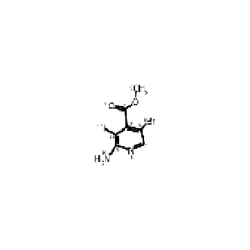 COC(=O)c1c(Br)cnc(N)c1I